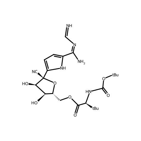 CC(C)(C)OC(=O)N[C@H](C(=O)OC[C@H]1O[C@@](C#N)(c2ccc(/C(N)=N\C=N)[nH]2)[C@H](O)[C@@H]1O)C(C)(C)C